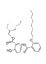 CCCCC(CC)COC(=O)c1ccccc1O.CCCCCCCCOc1ccccc1C(=O)O